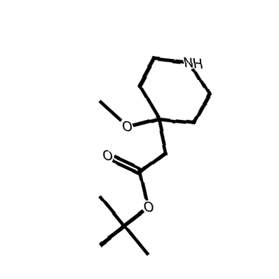 COC1(CC(=O)OC(C)(C)C)CCNCC1